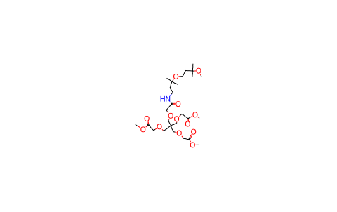 COC(=O)COCC(COCC(=O)NCCC(C)(C)OCCC(C)(C)OC)(COCC(=O)OC)COCC(=O)OC